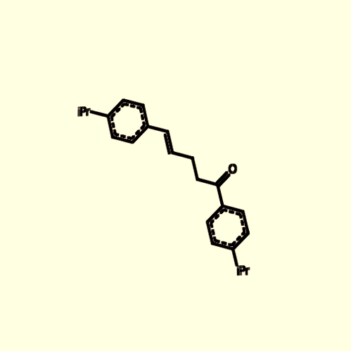 CC(C)c1ccc(C=CCCC(=O)c2ccc(C(C)C)cc2)cc1